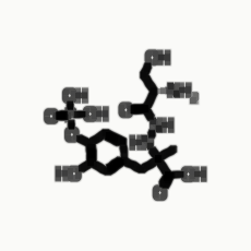 CC(Cc1ccc(OP(=O)(O)O)c(O)c1)(NNC(=O)[C@@H](N)CO)C(=O)O